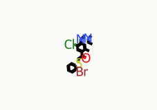 CCN(C)/C=N\c1cc(C)c(C(=O)CSc2ccccc2Br)cc1Cl